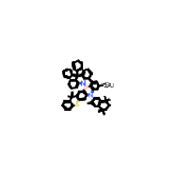 Cc1cc2c(cc1N1c3cc4c(cc3B3c5c(cc(C(C)(C)C)cc51)-c1cccc5c1N3c1ccccc1C5(c1ccccc1)c1ccccc1)C(C)(C)c1ccccc1S4)C(C)(C)CCC2(C)C